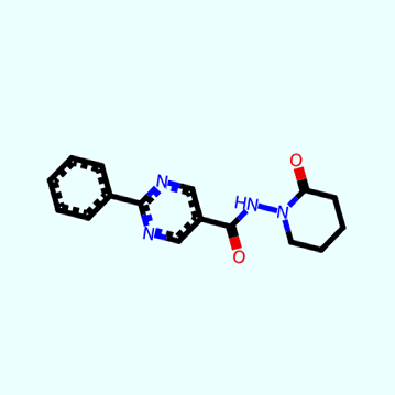 O=C(NN1CCCCC1=O)c1cnc(-c2ccccc2)nc1